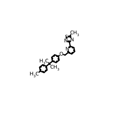 Cc1ccc(C(C)(C)c2ccc(OCc3cccc(-c4nsc(C)n4)n3)cc2)cc1